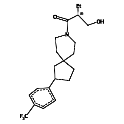 CC[C@H](CO)C(=O)N1CCC2(CCC(c3ccc(C(F)(F)F)cc3)C2)CC1